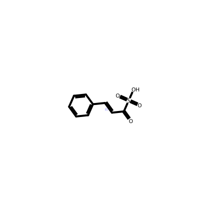 O=C(/C=C/c1ccccc1)S(=O)(=O)O